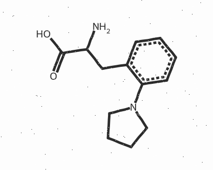 NC(Cc1ccccc1N1CCCC1)C(=O)O